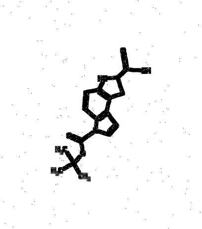 CC(C)(C)OC(=O)n1ccc2c3c(ccc21)NC(C(=O)O)C3